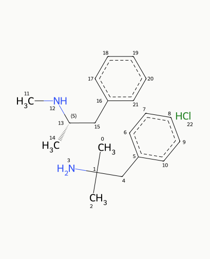 CC(C)(N)Cc1ccccc1.CN[C@@H](C)Cc1ccccc1.Cl